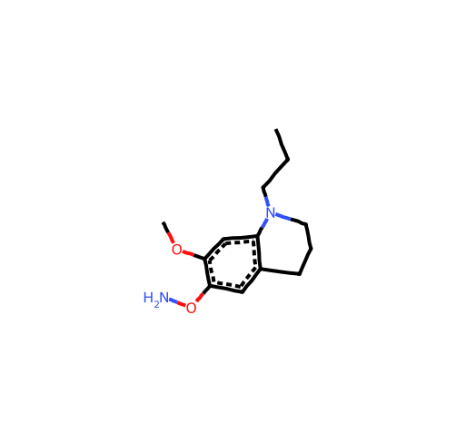 CCCN1CCCc2cc(ON)c(OC)cc21